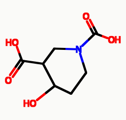 O=C(O)C1CN(C(=O)O)CCC1O